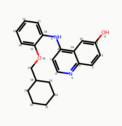 Oc1ccc2nccc(Nc3ccccc3OCC3CCCCC3)c2c1